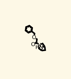 O=C(COCc1ccccc1)N1CC2CC(C1)N2